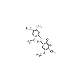 CCc1cc(NCc2nc(C)c(C)cc2OC)c(=O)[nH]c1C